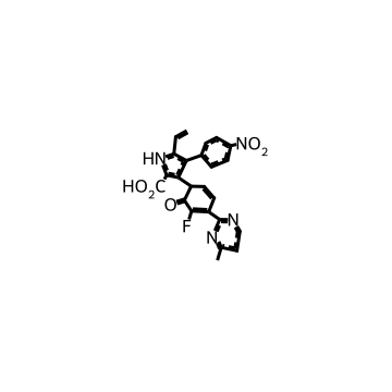 C=Cc1[nH]c(C(=O)O)c(C2C=CC(c3nccc(C)n3)=C(F)C2=O)c1-c1ccc([N+](=O)[O-])cc1